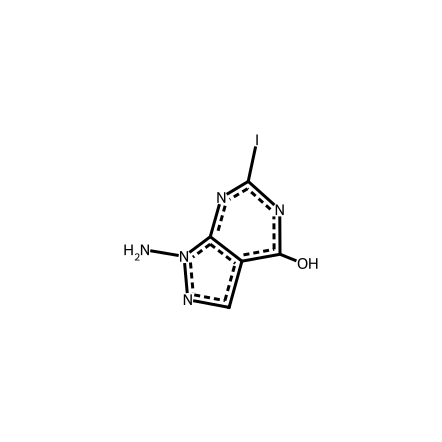 Nn1ncc2c(O)nc(I)nc21